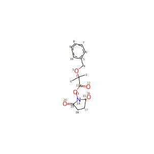 CC(C)(OCc1ccccc1)C(=O)ON1C(=O)CCC1=O